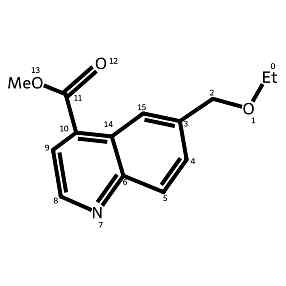 CCOCc1ccc2nccc(C(=O)OC)c2c1